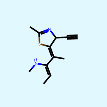 C#CC1N=C(C)S/C1=C(C)\C(=C\C)NC